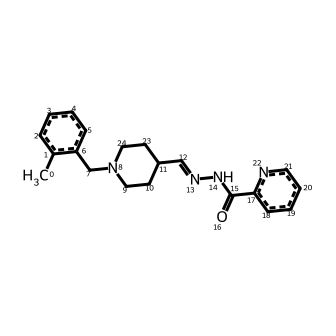 Cc1ccccc1CN1CCC(/C=N/NC(=O)c2ccccn2)CC1